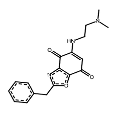 CN(C)CCNC1=CC(=O)c2oc(Cc3ccccc3)nc2C1=O